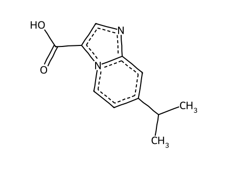 CC(C)c1ccn2c(C(=O)O)cnc2c1